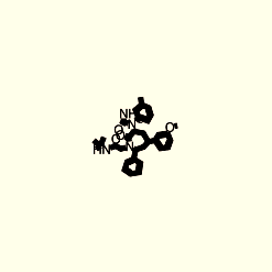 COc1cccc(C2CC(c3ccccc3)N(CC(=O)NC(C)(C)C)C(=O)C(N(C(N)=O)c3cccc(C)c3)C2)c1